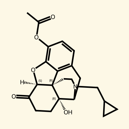 CC(=O)Oc1ccc2c3c1O[C@@H]1C(=O)CC[C@]4(O)C(C2)N(CC2CC2)CC[C@@]314